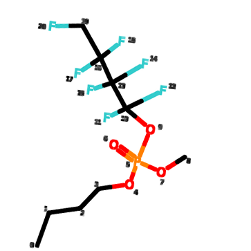 CCCCOP(=O)(OC)OC(F)(F)C(F)(F)C(F)(F)CF